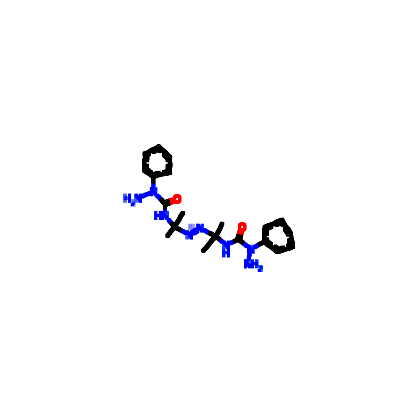 CC(C)(/N=N/C(C)(C)NC(=O)N(N)c1ccccc1)NC(=O)N(N)c1ccccc1